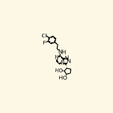 O[C@@H]1[C@H](O)CC[C@H]1c1nnc2c(NCCc3ccc(Cl)c(F)c3)nccn12